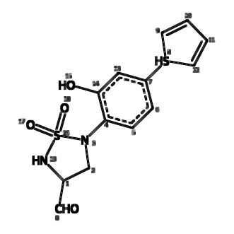 O=CC1CN(c2ccc([SH]3C=CC=C3)cc2O)S(=O)(=O)N1